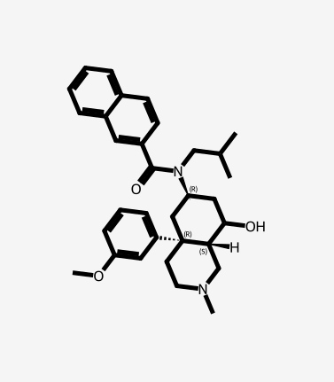 COc1cccc([C@@]23CCN(C)C[C@H]2C(O)C[C@H](N(CC(C)C)C(=O)c2ccc4ccccc4c2)C3)c1